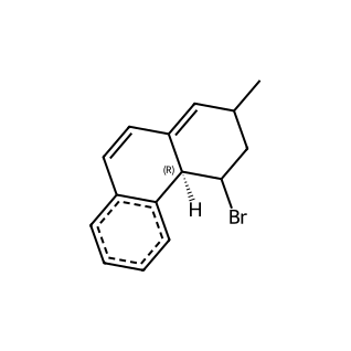 CC1C=C2C=Cc3ccccc3[C@@H]2C(Br)C1